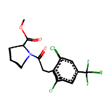 COC(=O)C1CCCN1C(=O)Cc1c(Cl)cc(C(F)(F)F)cc1Cl